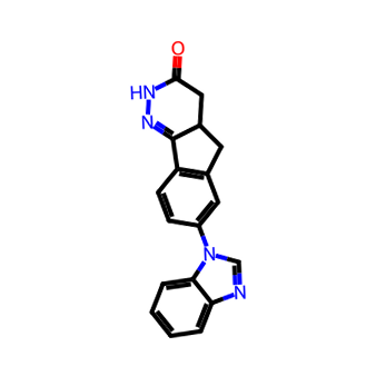 O=C1CC2Cc3cc(-n4cnc5ccccc54)ccc3C2=NN1